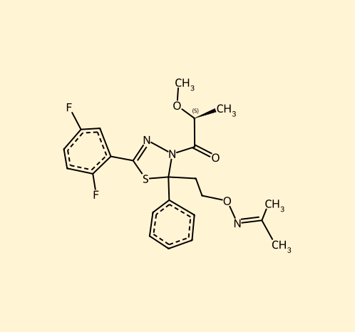 CO[C@@H](C)C(=O)N1N=C(c2cc(F)ccc2F)SC1(CCON=C(C)C)c1ccccc1